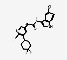 O=C(Nc1cnc(Cl)c(C2CCC(F)(F)CC2)c1)Nc1c[nH]c2ccc(Cl)cc12